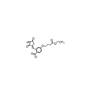 CCOC(=O)CCCOc1ccc([N+](=O)[O-])c(/C=C2\CC(=O)NC2=O)c1